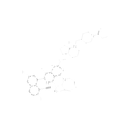 C#Cc1c(F)ccc2cc(O)cc(-c3nc(OC)c4c(N5CCOC[C@@](C)(O)C5)nc(OC[C@]56CCC[C@H]5N(CC5CCN(C(=O)CC)CC5)CCC6)nc4c3F)c12